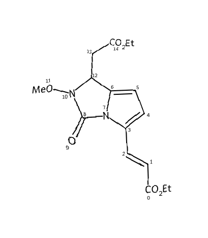 CCOC(=O)/C=C/c1ccc2n1C(=O)N(OC)C2CC(=O)OCC